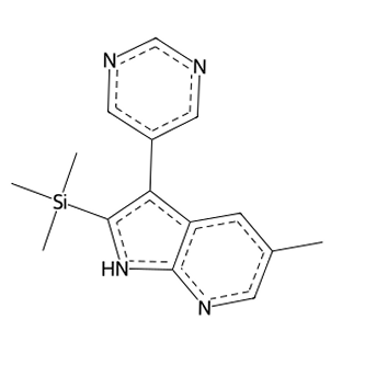 Cc1cnc2[nH]c([Si](C)(C)C)c(-c3cncnc3)c2c1